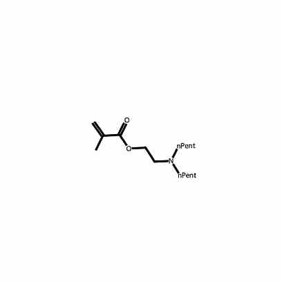 C=C(C)C(=O)OCCN(CCCCC)CCCCC